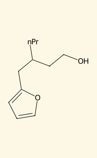 CCCC(CCO)Cc1ccco1